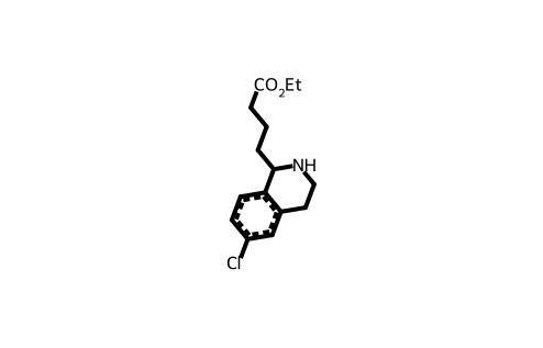 CCOC(=O)CCCC1NCCc2cc(Cl)ccc21